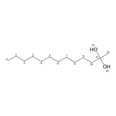 CCCCCCCCCCCC(C)(O)O